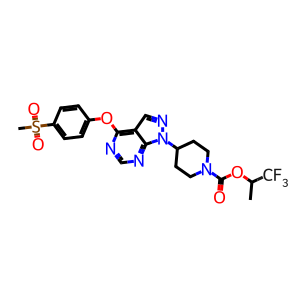 CC(OC(=O)N1CCC(n2ncc3c(Oc4ccc(S(C)(=O)=O)cc4)ncnc32)CC1)C(F)(F)F